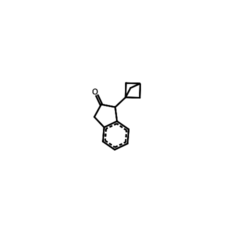 O=C1Cc2ccccc2C1C12CC(C1)C2